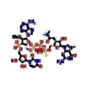 CO[C@@H]1[C@H](P(=O)([O-])OC[C@H]2O[C@@H](n3ccc(=O)[nH]c3=O)[C@H](O)[C@@H]2O)[C@@H](COP(=O)(O)OP(=O)(O)OP(O)(=S)OC[C@H]2OC(n3c[n+](C)c4c(=O)[nH]c(N)nc43)[C@H](O)[C@@H]2CC(=O)N(C)C)O[C@H]1n1cnc2c(N)ncnc21